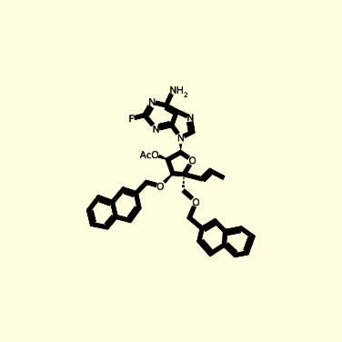 C/C=C/[C@]1(COCc2ccc3ccccc3c2)O[C@@H](n2cnc3c(N)nc(F)nc32)[C@H](OC(C)=O)[C@@H]1OCc1ccc2ccccc2c1